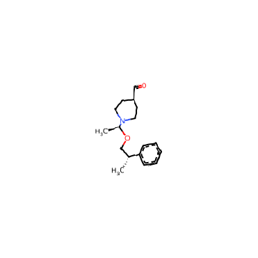 C[C@H](CO[C@@H](C)N1CCC(C=O)CC1)c1ccccc1